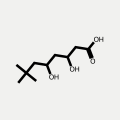 CC(C)(C)CC(O)CC(O)CC(=O)O